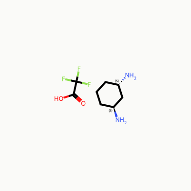 N[C@H]1CCC[C@H](N)C1.O=C(O)C(F)(F)F